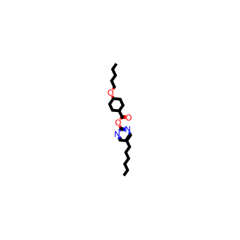 CCCCCCc1cnc(OC(=O)C2CCC(OCCCCC)CC2)nc1